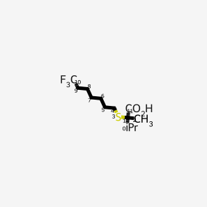 CC(C)C(C)(SCCCCCCC(F)(F)F)C(=O)O